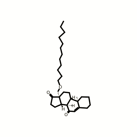 CCCCCCCCCCCCOC[C@]12CC[C@H]3[C@@H](C(=O)C=C4CCCC[C@@]43C)[C@@H]1CCC2=O